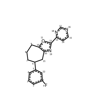 Fc1cccc(C2CCCc3oc(-c4ccncn4)nc3C2)c1